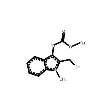 Cn1c(CO)c(NC(=O)OC(C)(C)C)c2ccccc21